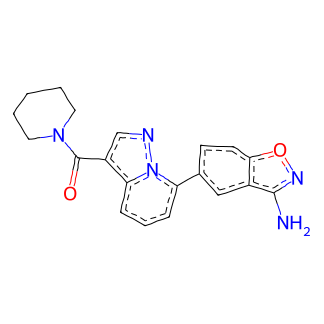 Nc1noc2ccc(-c3cccc4c(C(=O)N5CCCCC5)cnn34)cc12